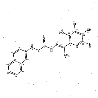 C/C(=N\NC(=O)CNc1ccc2ccccc2c1)c1cc(Br)c(O)c(Br)c1O